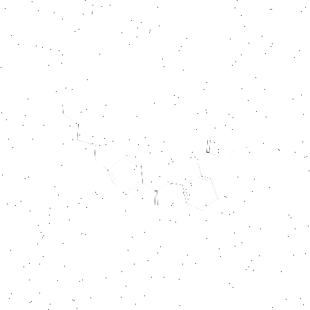 CC(C)(C)OC(=O)Nc1ccccc1NC(=O)c1ccc(CNCCCO)cc1